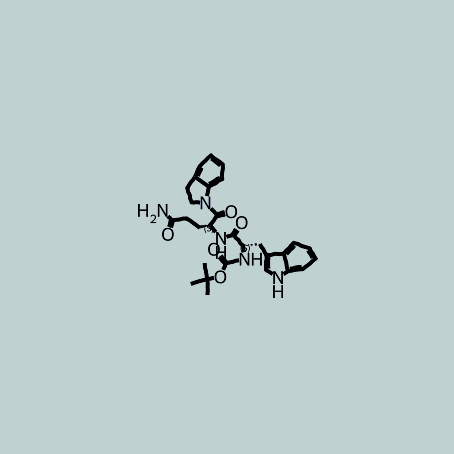 CC(C)(C)OC(=O)N[C@@H](Cc1c[nH]c2ccccc12)C(=O)N[C@@H](CCC(N)=O)C(=O)N1CCc2ccccc21